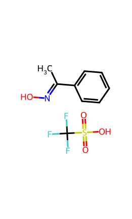 CC(=NO)c1ccccc1.O=S(=O)(O)C(F)(F)F